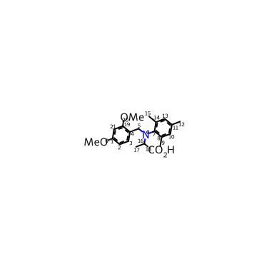 COc1ccc(CN(c2c(C)cc(C)cc2C)C(C)C(=O)O)c(OC)c1